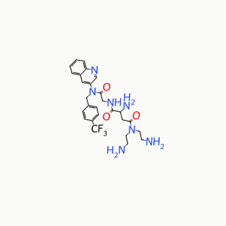 NCCN(CCN)C(=O)C[C@H](N)C(=O)NCC(=O)N(Cc1ccc(C(F)(F)F)cc1)c1cnc2ccccc2c1